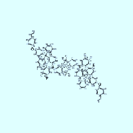 C=Cc1ccc(Oc2ccc(C3(c4ccc(F)cc4F)c4ccccc4-c4ccc(N(c5ccc(C)c(F)c5)c5ccc6c(c5)C5(CC6(C)C)CC(C)(C)c6ccc(N(c7ccc(C)c(F)c7)c7ccc8c(c7)C(c7ccc(Oc9ccc(C=C)cc9)cc7)(c7ccc(F)cc7F)c7ccccc7-8)cc65)cc43)cc2)cc1